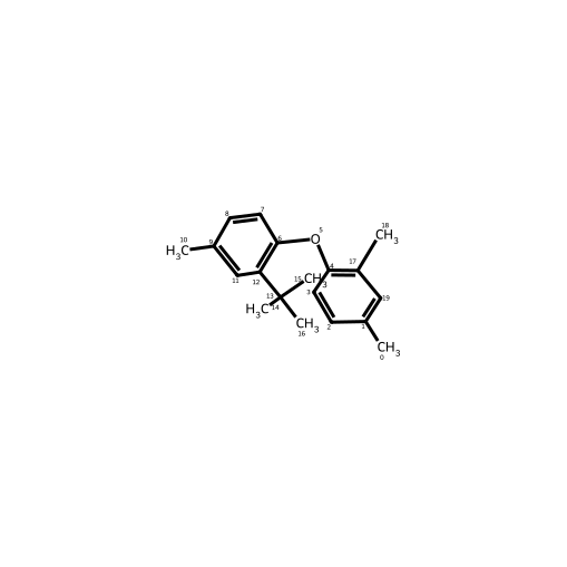 Cc1ccc(Oc2ccc(C)cc2C(C)(C)C)c(C)c1